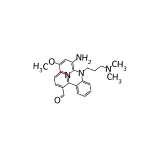 COc1cnc(N(CCCN(C)C)c2ccccc2-c2ccccc2C=O)c(N)c1